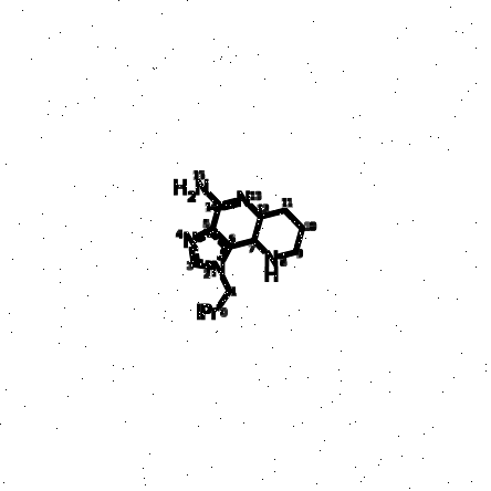 CC(C)Cn1cnc2c1C1NCCCC1N=C2N